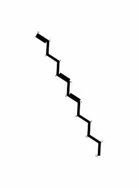 C=CCCC=CC=CCCCCC